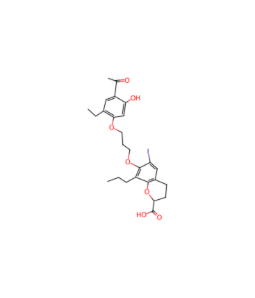 CCCc1c(OCCCOc2cc(O)c(C(C)=O)cc2CC)c(I)cc2c1OC(C(=O)O)CC2